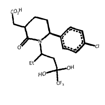 CCC(CC(O)(O)C(F)(F)F)N1C(=O)C(CC(=O)O)CCC1c1ccc(Cl)cc1